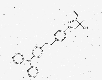 C=CC(=O)C(C)(O)COc1ccc(CCc2ccc(N(c3ccccc3)c3ccccc3)cc2)cc1